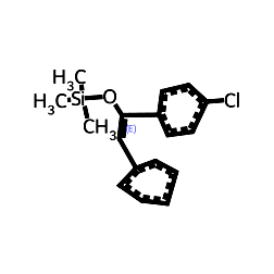 C[Si](C)(C)O/C(=C/c1ccccc1)c1ccc(Cl)cc1